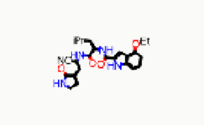 CCOc1cccc2[nH]c(C(=O)NC(CC(C)C)C(=O)NC(C#N)CC3CCNC3=O)cc12